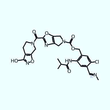 C/N=C/c1cc(NC(=O)C(C)C)c(COC(=O)N2Cc3nc(C(=O)N4CCc5c(O)noc5C4)oc3C2)cc1Cl